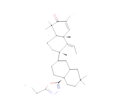 COCc1nnc([C@]23CCC(C)(C)CC2C[C@](C)([C@]2(C)CC[C@H]4C(C)(C)C(=O)C(C#N)=C[C@]4(C)/C2=C/C(C)=O)CC3)o1